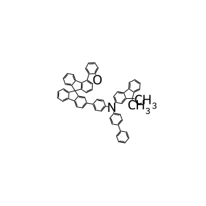 CC1(C)c2ccccc2-c2ccc(N(c3ccc(-c4ccccc4)cc3)c3ccc(-c4ccc5c(c4)C4(c6ccccc6-5)c5ccccc5-c5c4ccc4oc6ccccc6c54)cc3)cc21